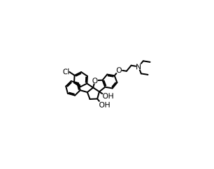 CCN(CC)CCOc1ccc2c(c1)OC1(c3ccc(Cl)cc3)C(c3ccccc3)CC(O)C21O